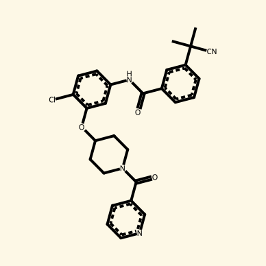 CC(C)(C#N)c1cccc(C(=O)Nc2ccc(Cl)c(OC3CCN(C(=O)c4cccnc4)CC3)c2)c1